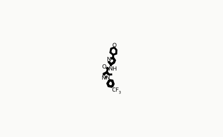 Cc1c(C(=O)Nc2ccc(C3CCC(=O)CC3)nc2)cnn1-c1ccc(C(F)(F)F)cc1